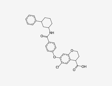 O=C(NC1CCCC(c2ccccc2)C1)c1ccc(Oc2cc3c(cc2Cl)C(C(=O)O)CCO3)cc1